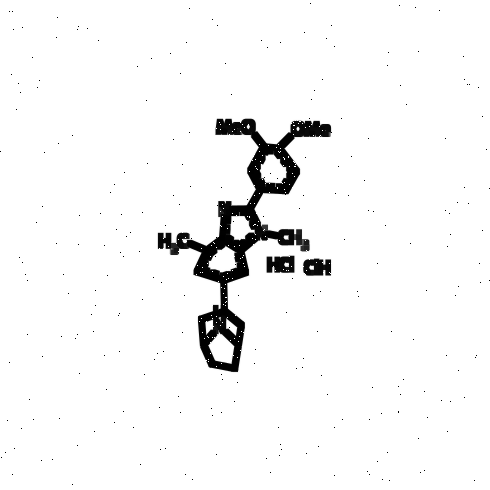 COc1ccc(-c2nc3c(C)cc(C4CC5CCC(C4)N5)cc3n2C)cc1OC.Cl.Cl